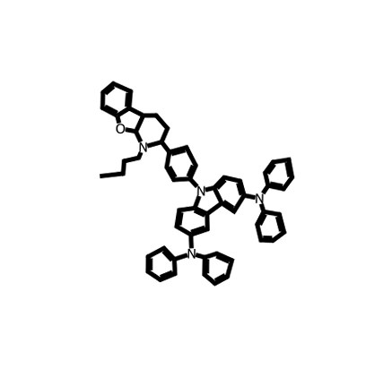 CCCCN1C(c2ccc(-n3c4ccc(N(c5ccccc5)c5ccccc5)cc4c4cc(N(c5ccccc5)c5ccccc5)ccc43)cc2)CCC2c3ccccc3OC21